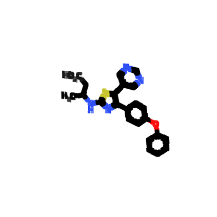 CC(CC(=O)O)Nc1nc(-c2ccc(Oc3ccccc3)cc2)c(-c2cncnc2)s1